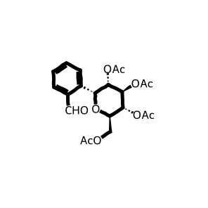 CC(=O)OC[C@H]1O[C@H](c2ccccc2C=O)[C@H](OC(C)=O)[C@@H](OC(C)=O)[C@@H]1OC(C)=O